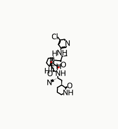 C[C@H](Nc1cncc(Cl)c1)C(=O)N1[C@@H]2CC[C@H]([C@@H]1C(=O)N[C@@H](C#N)C[C@@H]1CCCNC1=O)C(F)(F)C2